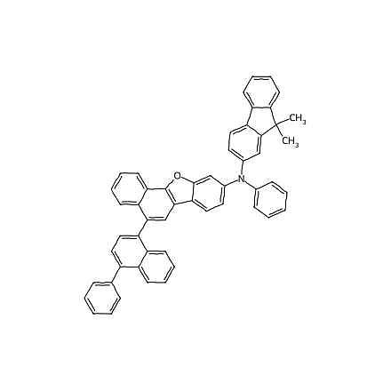 CC1(C)c2ccccc2-c2ccc(N(c3ccccc3)c3ccc4c(c3)oc3c5ccccc5c(-c5ccc(-c6ccccc6)c6ccccc56)cc43)cc21